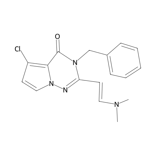 CN(C)C=Cc1nn2ccc(Cl)c2c(=O)n1Cc1ccccc1